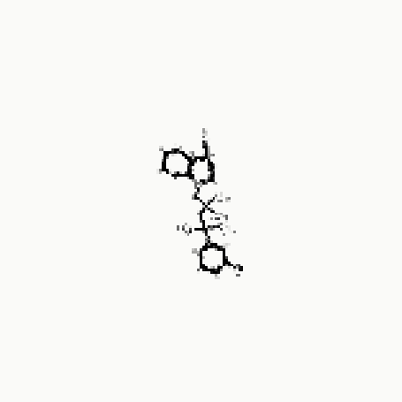 CC(C)(CC(O)(Cn1ccc(=O)c2ccccc21)C(F)(F)F)c1cccc(Br)c1